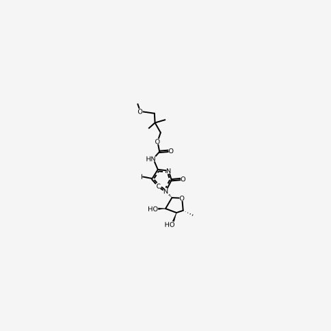 COCC(C)(C)COC(=O)Nc1nc(=O)n([C@@H]2O[C@H](C)[C@@H](O)[C@H]2O)cc1I